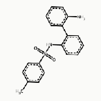 Cc1ccc(S(=O)(=O)Nc2ccccc2-c2ccccc2N)cc1